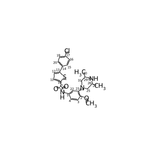 COc1ccc(NS(=O)(=O)c2ccc(-c3ccc(Cl)cc3)s2)cc1N1CC(C)NC(C)C1